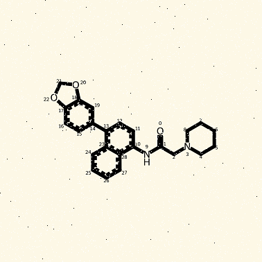 O=C(CN1CCCCC1)Nc1ccc(-c2ccc3c(c2)OCO3)c2ccccc12